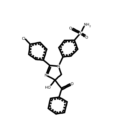 NS(=O)(=O)c1ccc(N2CC(O)(C(=O)c3ccccc3)N=C2c2ccc(Cl)cc2)cc1